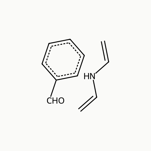 C=CNC=C.O=Cc1ccccc1